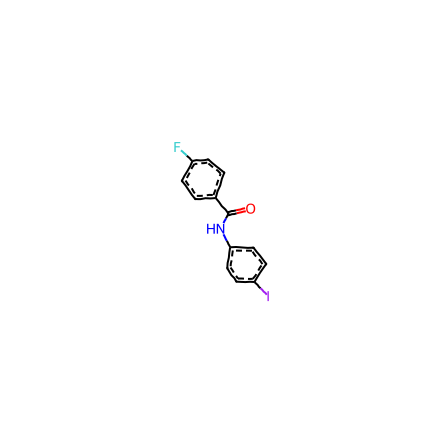 O=C(Nc1ccc(I)cc1)c1ccc(F)cc1